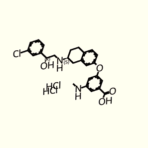 CNc1cc(Oc2ccc3c(c2)C[C@@H](NC[C@H](O)c2cccc(Cl)c2)CC3)cc(C(=O)O)c1.Cl.Cl